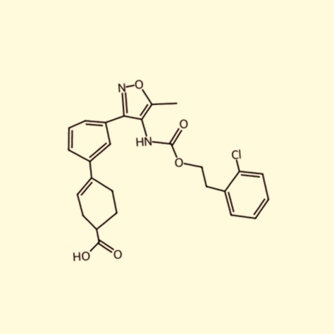 Cc1onc(-c2cccc(C3=CCC(C(=O)O)CC3)c2)c1NC(=O)OCCc1ccccc1Cl